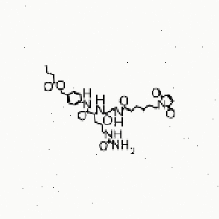 CCCC(=O)OCc1ccc(NC(=O)C(CCCNC(N)=O)NC(=O)CNC(=O)CCCCCN2C(=O)C=CC2=O)cc1